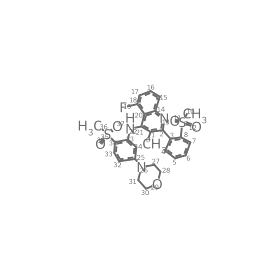 Cc1c(-c2ccccc2S(C)(=O)=O)nc2cccc(F)c2c1Nc1cc(N2CCOCC2)ccc1S(C)(=O)=O